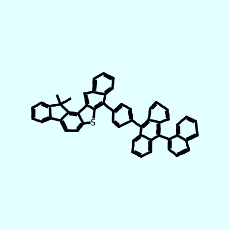 CC1(C)c2ccccc2-c2ccc3sc4c(-c5ccc(-c6c7ccccc7c(-c7cccc8ccccc78)c7ccccc67)cc5)c5ccccc5cc4c3c21